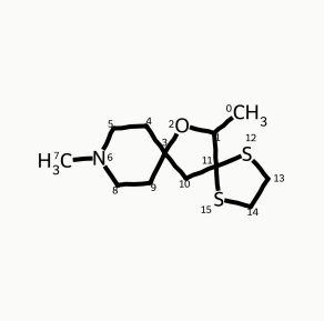 CC1OC2(CCN(C)CC2)CC12SCCS2